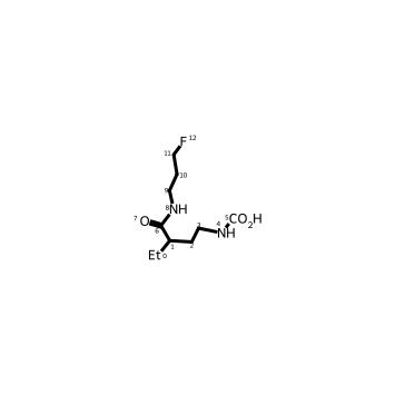 CCC(CCNC(=O)O)C(=O)NCCCF